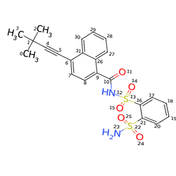 CC(C)(C)C#Cc1ccc(C(=O)NS(=O)(=O)c2ccccc2S(N)(=O)=O)c2ccccc12